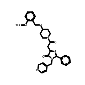 O=CNc1ccccc1CNC1CCN(C(=O)CC2SC(c3ccccc3)N(CC3=CCNC=C3)C2=O)CC1